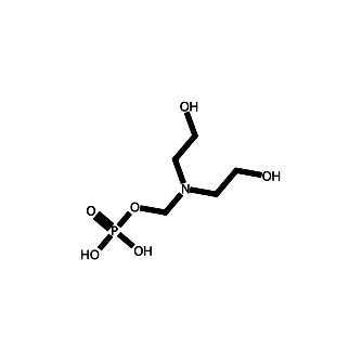 O=P(O)(O)OCN(CCO)CCO